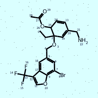 CCC1(OCc2cc(Br)c3occ(C(F)(F)F)c3c2)C=C(CN)C=CC1OC(C)=O